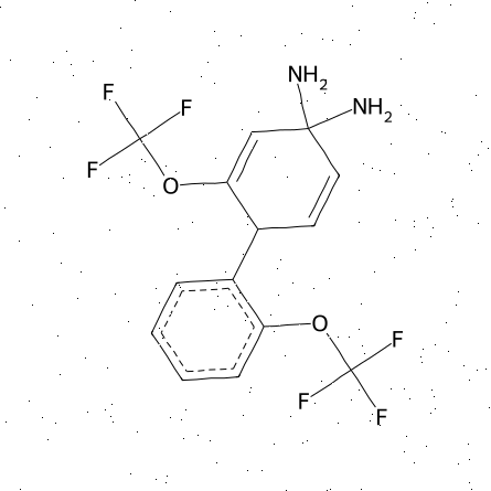 NC1(N)C=CC(c2ccccc2OC(F)(F)F)C(OC(F)(F)F)=C1